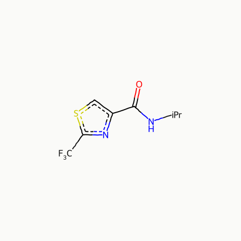 CC(C)NC(=O)c1csc(C(F)(F)F)n1